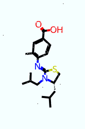 Cc1cc(C(=O)O)ccc1/N=C1\SC[C@H](CC(C)C)N1CC(C)C